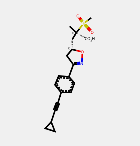 C[C@@](C[C@H]1CC(c2ccc(C#CC3CC3)cc2)=NO1)(C(=O)O)S(C)(=O)=O